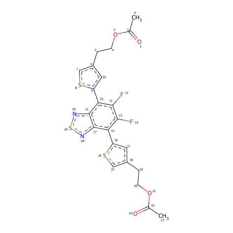 CC(=O)OCCc1csc(-c2c(F)c(F)c(-c3cc(CCOC(C)=O)cs3)c3nsnc23)c1